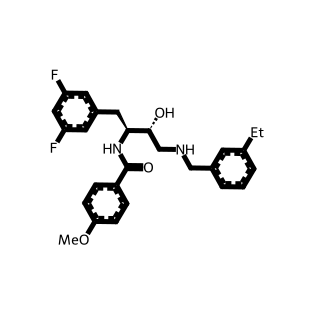 CCc1cccc(CNC[C@@H](O)[C@H](Cc2cc(F)cc(F)c2)NC(=O)c2ccc(OC)cc2)c1